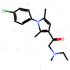 CCN(C)CC(=O)c1cc(C)n(-c2ccc(Cl)cc2)c1C